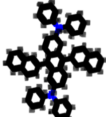 C1=CC(c2c3c(c(-c4ccc5ccccc5c4)c4cc(N(c5ccccc5)c5ccccc5)ccc24)C=CC(N(c2ccccc2)c2ccccc2)C3)Cc2ccccc21